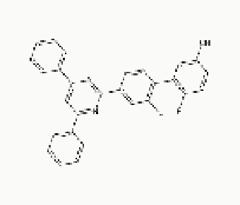 N#Cc1ccc(F)c(-c2ccc(-c3nc(-c4ccccc4)cc(-c4ccccc4)n3)cc2F)c1